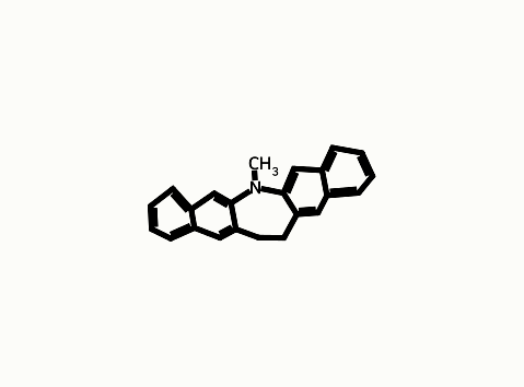 CN1c2cc3ccccc3cc2CCc2cc3ccccc3cc21